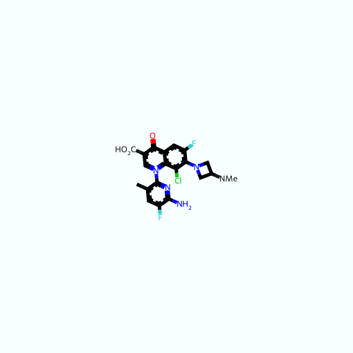 CNC1CN(c2c(F)cc3c(=O)c(C(=O)O)cn(-c4nc(N)c(F)cc4C)c3c2Cl)C1